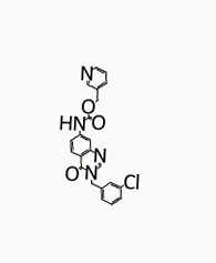 O=C(Nc1ccc2c(=O)n(Cc3cccc(Cl)c3)cnc2c1)OCc1cccnc1